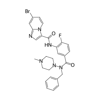 CN1CCN(N(Cc2ccccc2)C(=O)c2ccc(F)c(NC(=O)c3cnc4cc(Br)ccn34)c2)CC1